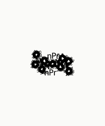 CCCc1cccc2c3c(N(c4ccccc4)c4ccccc4)ccc4c5cc6c(cc5n(c12)c43)c1ccc(N(c2ccccc2)c2ccccc2)c2c3cccc(CCC)c3n6c12